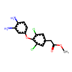 COC(=O)Cc1cc(Cl)c(Oc2ccc(N)c(N)c2)c(Cl)c1